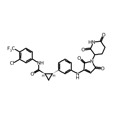 O=C1CCC(N2C(=O)C=C(Nc3cccc([C@@H]4C[C@H]4C(=O)Nc4ccc(C(F)(F)F)c(Cl)c4)c3)C2=O)C(=O)N1